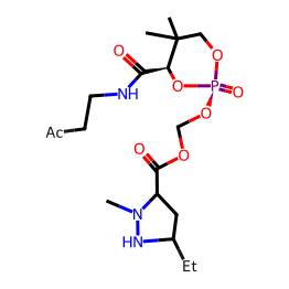 CCC1CC(C(=O)OCO[P@]2(=O)OCC(C)(C)[C@H](C(=O)NCCC(C)=O)O2)N(C)N1